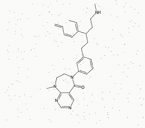 C=C/C=C\C(=C/C)C(CCNC)CCc1cccc(N2CCN(C)c3ncncc3C2=O)c1